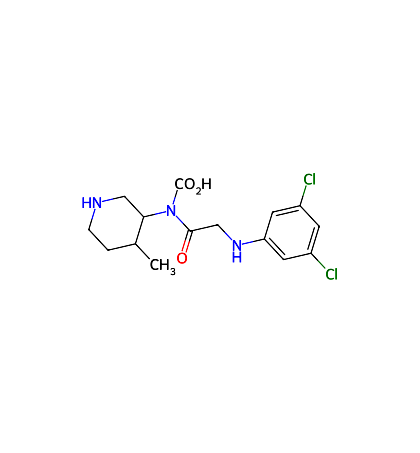 CC1CCNCC1N(C(=O)O)C(=O)CNc1cc(Cl)cc(Cl)c1